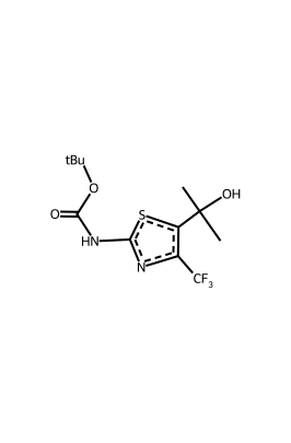 CC(C)(C)OC(=O)Nc1nc(C(F)(F)F)c(C(C)(C)O)s1